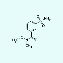 CON(C)C(=O)c1cccc(S(N)(=O)=O)c1